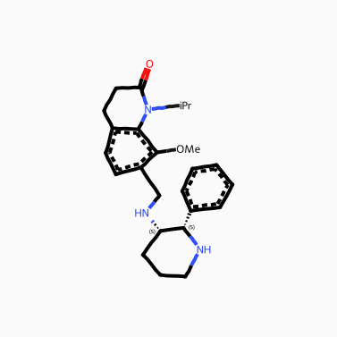 COc1c(CN[C@H]2CCCN[C@H]2c2ccccc2)ccc2c1N(C(C)C)C(=O)CC2